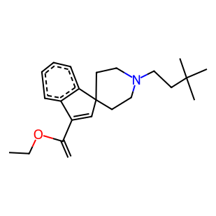 C=C(OCC)C1=CC2(CCN(CCC(C)(C)C)CC2)c2ccccc21